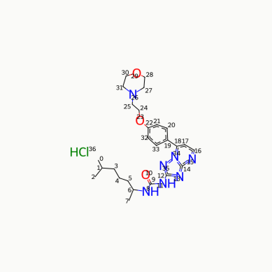 CC(C)CCCC(C)NC(=O)Nc1nc2nccc(-c3ccc(OCCN4CCOCC4)cc3)n2n1.Cl